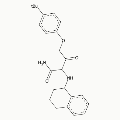 CC(C)(C)c1ccc(OCC(=O)C(NC2CCCc3ccccc32)C(N)=O)cc1